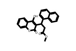 COC(=O)CC(c1c(O)c2ccccc2oc1=O)c1cccc2ccccc12